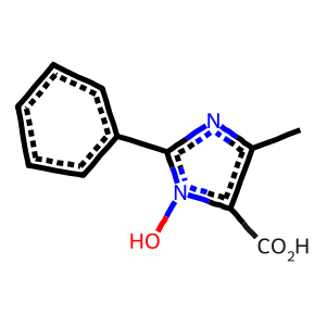 Cc1nc(-c2ccccc2)n(O)c1C(=O)O